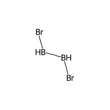 BrBBBr